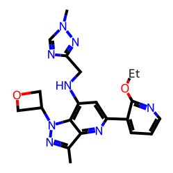 CCOc1ncccc1-c1cc(NCc2ncn(C)n2)c2c(n1)c(C)nn2C1COC1